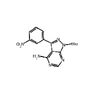 CC(C)(C)n1nc(-c2cccc([N+](=O)[O-])c2)c2c(N)ncnc21